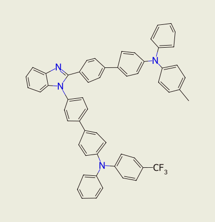 Cc1ccc(N(c2ccccc2)c2ccc(-c3ccc(-c4nc5ccccc5n4-c4ccc(-c5ccc(N(c6ccccc6)c6ccc(C(F)(F)F)cc6)cc5)cc4)cc3)cc2)cc1